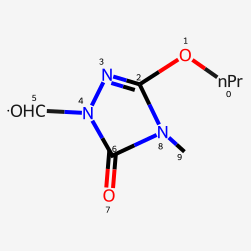 CCCOc1nn([C]=O)c(=O)n1C